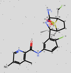 Cc1cc(C#N)cnc1C(=O)Nc1ccc(F)c([C@@]2(C)N=C(N)[C@@]3(CF)CC[C@@H]2S3(=O)=O)c1